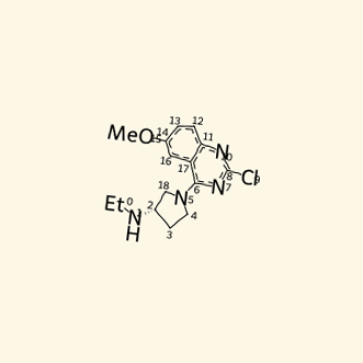 CCN[C@H]1CCN(c2nc(Cl)nc3ccc(OC)cc23)C1